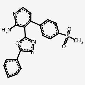 CS(=O)(=O)c1ccc(-c2ccnc(N)c2-c2nnc(-c3ccccc3)o2)cc1